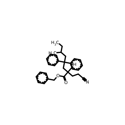 CCC(C)CC(CC(CO)(CCC#N)C(=O)OCc1ccccc1)(c1ccccc1)c1ccccc1